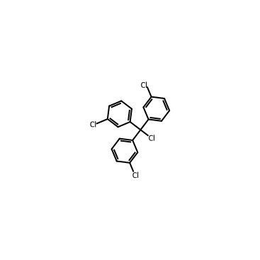 Clc1cccc(C(Cl)(c2cccc(Cl)c2)c2cccc(Cl)c2)c1